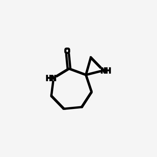 O=C1NCCCCC12CN2